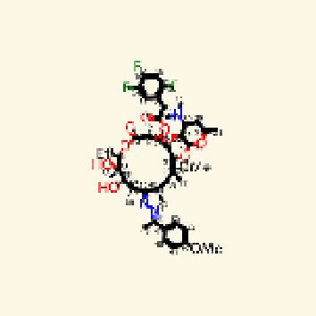 CC[C@H]1OC(=O)[C@H](C)[C@@H](OC(=O)Cc2cc(F)c(F)cc2F)[C@H](C)[C@@H](OC2OC(C)CC(N(C)C)C2O)[C@](C)(OC)C[C@@H](C)/C(=N\N=C(/C)c2ccc(OC)cc2)[C@H](C)[C@@H](O)[C@]1(C)O